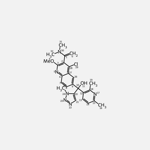 C=C(c1c(OC)nc2ccc(C(O)(c3ccc(C)nc3C)c3cnnn3C)cc2c1Cl)N(C)C